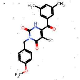 Cc1cc(C)cc(C(=O)c2[nH]c(=O)n(Cc3ccc(OC(F)(F)F)cc3)c(=O)c2C(C)C)c1